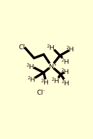 [2H]C([2H])([2H])[N+](CCCl)(C([2H])([2H])[2H])C([2H])([2H])[2H].[Cl-]